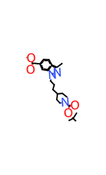 COC(=O)c1ccc2c(C)nn(CCCC3CCN(C(=O)OC(C)(C)C)CC3)c2c1